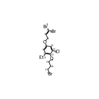 CCc1cc(OCC=C(Br)Br)cc(Cl)c1OCCCBr